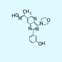 CC(=NO)c1cnc2c(N3CCOCC3)nc(-c3cccc(O)c3)nc2c1